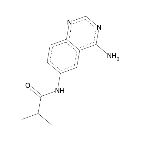 CC(C)C(=O)Nc1ccc2ncnc(N)c2c1